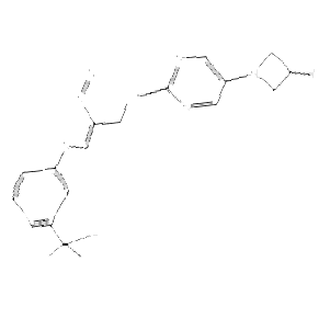 CC(F)(F)c1cccc(N/C=C(/COc2ncc(N3CC(F)C3)cn2)N=N)c1